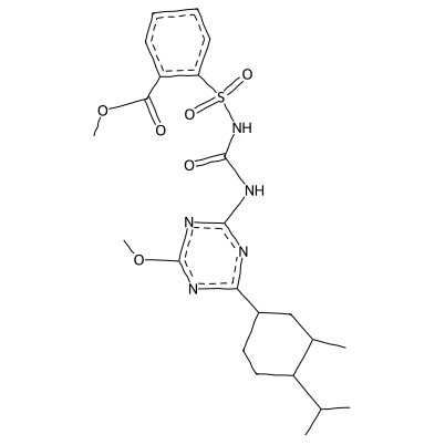 COC(=O)c1ccccc1S(=O)(=O)NC(=O)Nc1nc(OC)nc(C2CCC(C(C)C)C(C)C2)n1